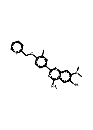 Cc1cc(-c2nc(N)c3cc(N)c(N(C)C)cc3n2)ccc1OCc1ccccn1